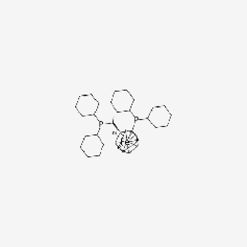 CC(P(C1CCCCC1)C1CCCCC1)[C@@]12[CH]3[CH]4[CH]5[C]1(P(C1CCCCC1)C1CCCCC1)[Fe]45321678[CH]2[CH]1[CH]6[CH]7[CH]28